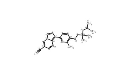 Cc1nc(-c2cnn3cc(C#N)cnc23)ccc1OC[C@@](C)(N)CC(C)C